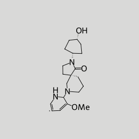 COC1=C[C]=CNC1N1CCC[C@@]2(CCN([C@H]3CC[C@@H](O)CC3)C2=O)C1